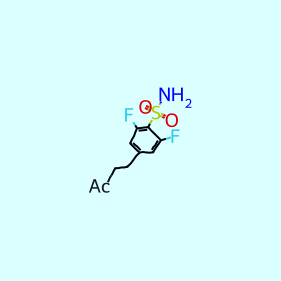 CC(=O)CCc1cc(F)c(S(N)(=O)=O)c(F)c1